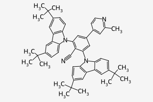 Cc1cc(-c2cc(-n3c4ccc(C(C)(C)C)cc4c4cc(C(C)(C)C)ccc43)c(C#N)c(-n3c4ccc(C(C)(C)C)cc4c4cc(C(C)(C)C)ccc43)c2)ccn1